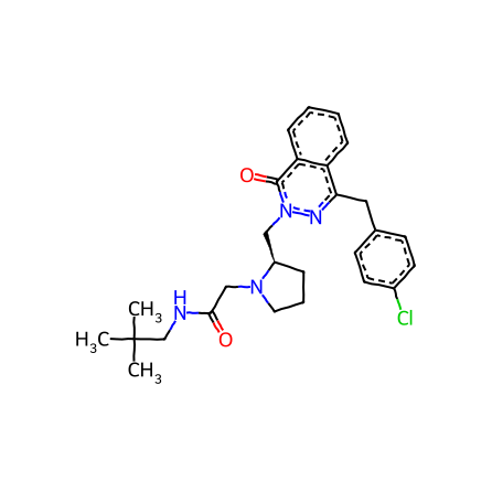 CC(C)(C)CNC(=O)CN1CCC[C@@H]1Cn1nc(Cc2ccc(Cl)cc2)c2ccccc2c1=O